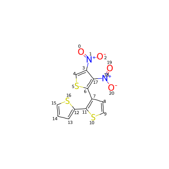 O=[N+]([O-])c1csc(-c2ccsc2-c2cccs2)c1[N+](=O)[O-]